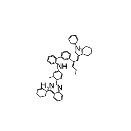 CC/C=C(\C=C1/CN(C2C=CC=CC2)C2=C1CCCC2)c1cccc(-c2ccccc2NC2=CC(C)[C@H](C/N=C3/C=CC=C/C3=C(/N)C3C=CCCC3)C=C2)c1